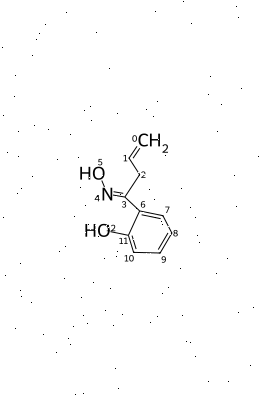 C=CCC(=NO)c1ccccc1O